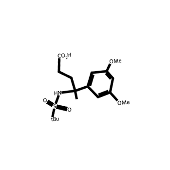 COc1cc(OC)cc(C(C)(CCC(=O)O)NS(=O)(=O)C(C)(C)C)c1